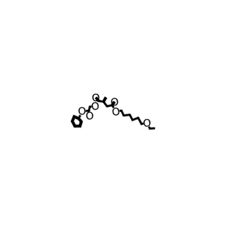 C=C(CC(=O)OCCCCCCOCC)C(=O)OCC(=O)Oc1ccccc1